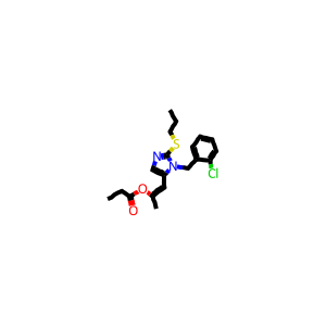 CCCSc1ncc(C=C(C)OC(=O)CC)n1Cc1ccccc1Cl